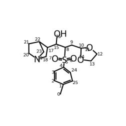 Cc1ccc(S(=O)(=O)C(CC2OCCO2)C(O)C2CN3CCC2C3)cc1